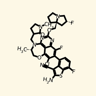 C[C@H]1COc2c(Cl)c(-c3ccc(F)c4sc(N)c(C#N)c34)c(F)c3nc(OC[C@@]45CCCN4C[C@H](F)C5)nc(c23)N1CC1CCN(C)C1=O